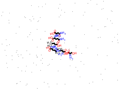 CC(C)C[C@H](N)C(=O)O.CC(C)C[C@H](N)C(=O)O.NC(=O)CC[C@H](N)C(=O)O.NC(=O)C[C@H](N)C(=O)O.N[C@@H](CO)C(=O)O.N[C@@H](Cc1c[nH]cn1)C(=O)O